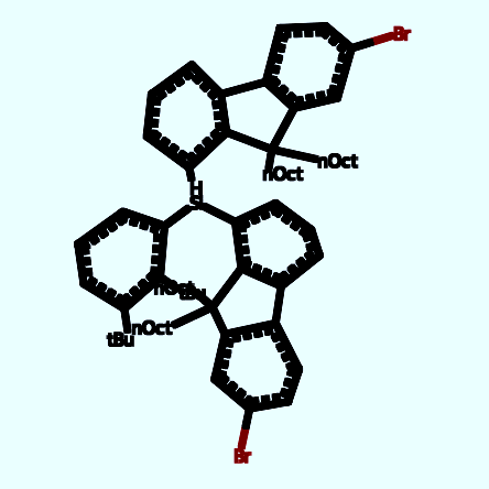 CCCCCCCCC1(CCCCCCCC)c2cc(Br)ccc2-c2cccc([SiH](c3cccc(C(C)(C)C)c3C(C)(C)C)c3cccc4c3C(CCCCCCCC)(CCCCCCCC)c3cc(Br)ccc3-4)c21